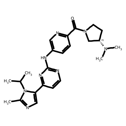 Cc1ncc(-c2ccnc(Nc3ccc(C(=O)N4CC[C@H](N(C)C)C4)nc3)n2)n1C(C)C